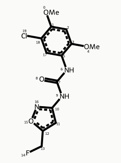 COc1cc(OC)c(NC(=O)Nc2cc(CF)on2)cc1Cl